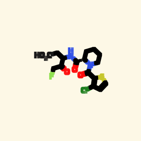 O=C(O)CC(NC(=O)[C@@H]1CCCCN1C(=O)c1sccc1Cl)C(=O)CF